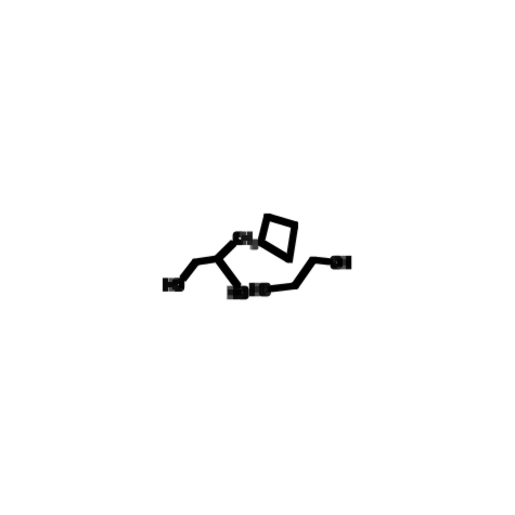 C1CCC1.CC(O)CO.OCCO